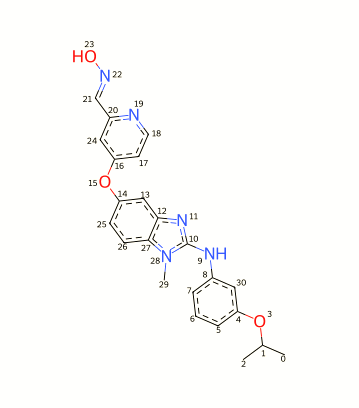 CC(C)Oc1cccc(Nc2nc3cc(Oc4ccnc(/C=N/O)c4)ccc3n2C)c1